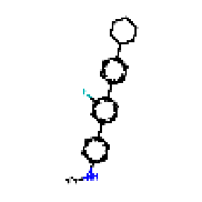 CCCNc1ccc(-c2ccc(-c3ccc(C4CCCCC4)cc3)c(F)c2)cc1